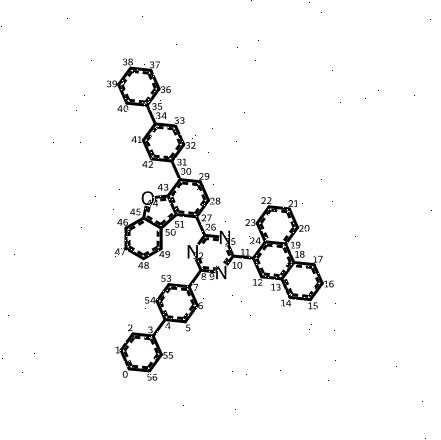 c1ccc(-c2ccc(-c3nc(-c4cc5ccccc5c5ccccc45)nc(-c4ccc(-c5ccc(-c6ccccc6)cc5)c5oc6ccccc6c45)n3)cc2)cc1